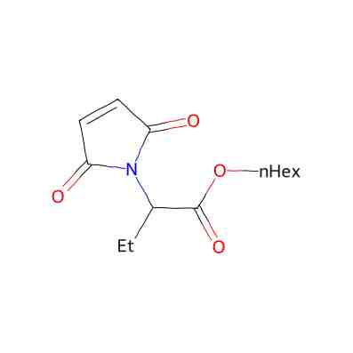 CCCCCCOC(=O)C(CC)N1C(=O)C=CC1=O